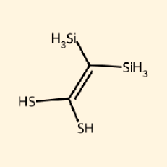 [SiH3]C([SiH3])=C(S)S